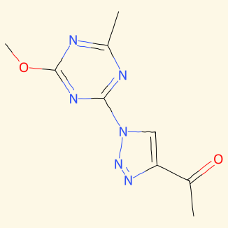 COc1nc(C)nc(-n2cc(C(C)=O)nn2)n1